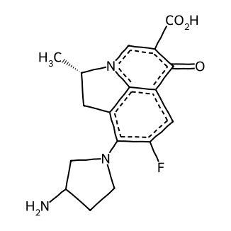 C[C@H]1Cc2c(N3CCC(N)C3)c(F)cc3c(=O)c(C(=O)O)cn1c23